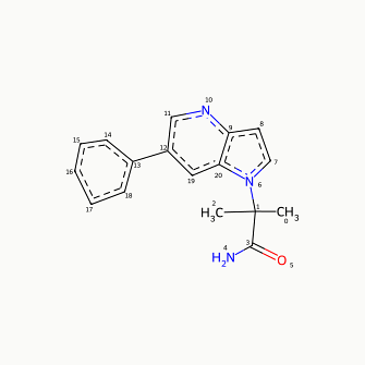 CC(C)(C(N)=O)n1ccc2ncc(-c3ccccc3)cc21